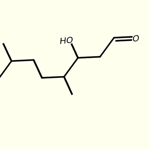 CC(C)CCC(C)C(O)CC=O